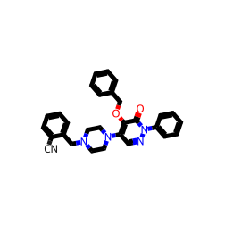 N#Cc1ccccc1CN1CCN(c2cnn(-c3ccccc3)c(=O)c2OCc2ccccc2)CC1